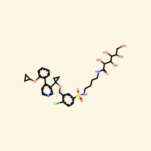 O=C(NCCCCNS(=O)(=O)c1ccc(Cl)c(COC2(c3cnccc3-c3ccccc3OC3CC3)CC2)c1)C(O)C(O)C(O)C(O)CO